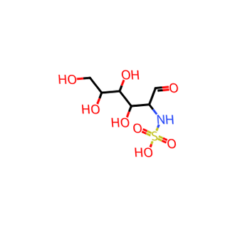 O=CC(NS(=O)(=O)O)C(O)C(O)C(O)CO